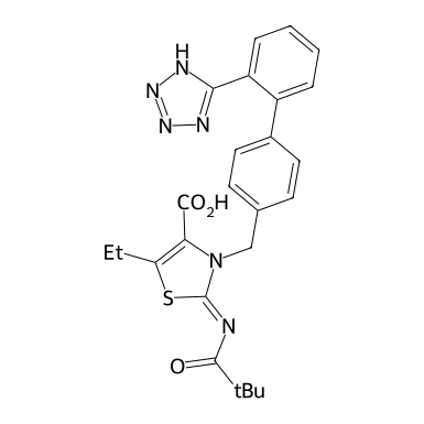 CCc1sc(=NC(=O)C(C)(C)C)n(Cc2ccc(-c3ccccc3-c3nnn[nH]3)cc2)c1C(=O)O